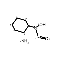 N.O=NN(O)C1CCCCC1